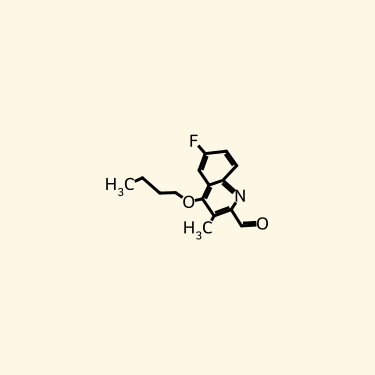 CCCCOc1c(C)c(C=O)nc2ccc(F)cc12